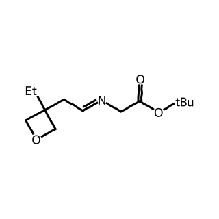 CCC1(C/C=N/CC(=O)OC(C)(C)C)COC1